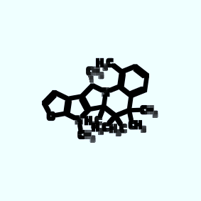 Cc1cccc2c1N1[C@@H](C)c3c(n(C)c4occc34)C1(C)C(C)(C)C2(C)C